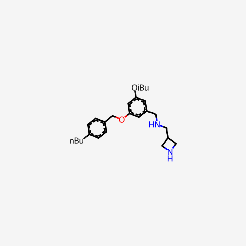 CCCCc1ccc(COc2cc(CNCC3CNC3)cc(OCC(C)C)c2)cc1